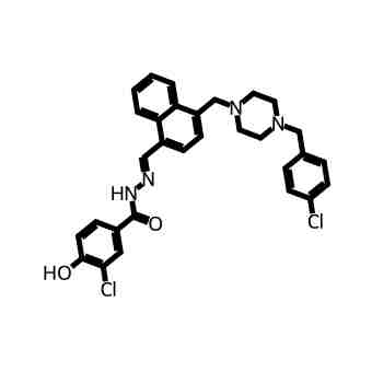 O=C(N/N=C/c1ccc(CN2CCN(Cc3ccc(Cl)cc3)CC2)c2ccccc12)c1ccc(O)c(Cl)c1